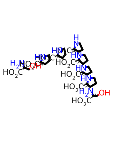 N[C@@H](CO)C(=O)O.N[C@@H](CO)C(=O)O.O=C(O)[C@@H]1CCCN1.O=C(O)[C@@H]1CCCN1.O=C(O)[C@@H]1CCCN1.O=C(O)[C@@H]1CCCN1.O=C(O)[C@@H]1CCCN1.O=C(O)[C@@H]1CCCN1